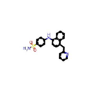 NS(=O)(=O)c1ccc(Nc2ccc(Cc3ccccn3)c3ccccc23)cc1